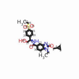 CCn1c(OCC2CC2)nc2cc(C(=O)NC(CO)c3ccc(S(=O)(=O)CC)cc3)ccc21